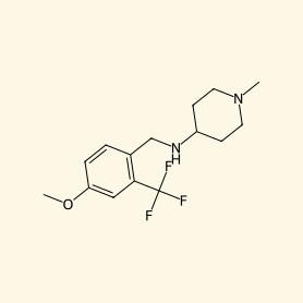 COc1ccc(CNC2CCN(C)CC2)c(C(F)(F)F)c1